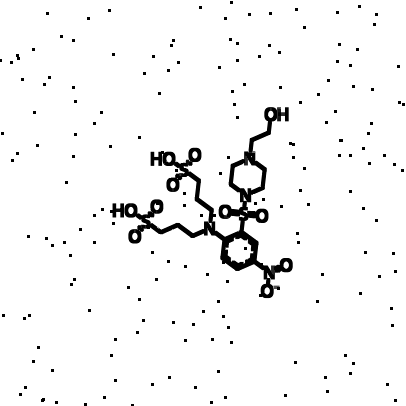 O=[N+]([O-])c1ccc(N(CCCS(=O)(=O)O)CCCS(=O)(=O)O)c(S(=O)(=O)N2CCN(CCO)CC2)c1